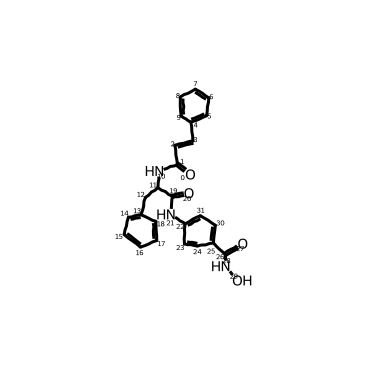 O=C(/C=C/c1ccccc1)NC(Cc1ccccc1)C(=O)Nc1ccc(C(=O)NO)cc1